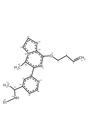 C=CCCOc1nc(-c2cc(C(C)NCC)ccn2)c(C)n2ccnc12